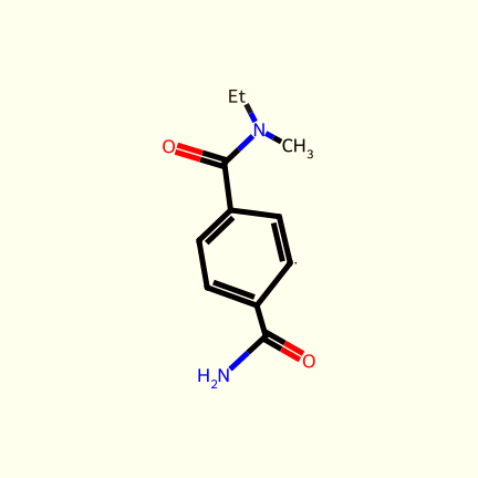 CCN(C)C(=O)c1c[c]c(C(N)=O)cc1